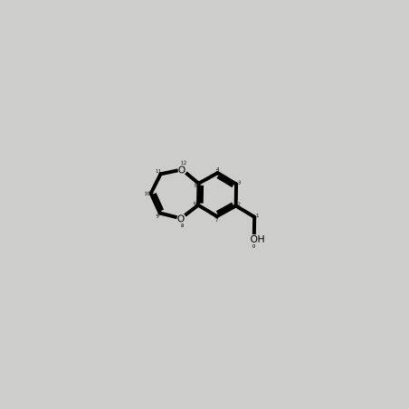 OCc1ccc2c(c1)OC=CCO2